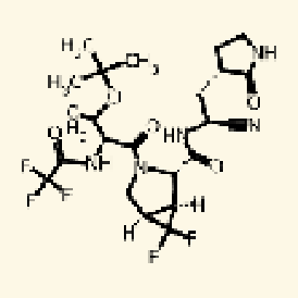 CC(OC(C)(C)C)[C@H](NC(=O)C(F)(F)F)C(=O)N1C[C@H]2[C@@H]([C@H]1C(=O)N[C@H](C#N)C[C@@H]1CCNC1=O)C2(F)F